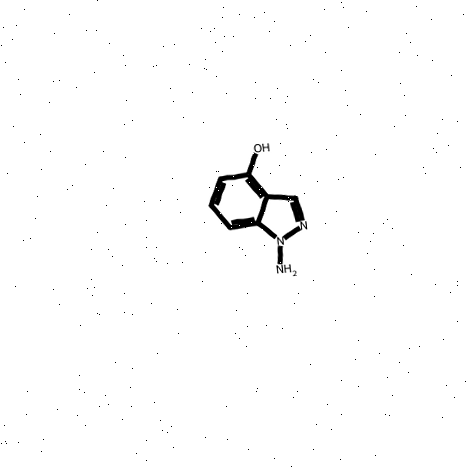 Nn1ncc2c(O)cccc21